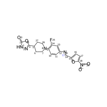 O=c1[nH]nc(C2CCN(c3ccc(/N=C/c4ccc([N+](=O)[O-])o4)cc3F)CC2)o1